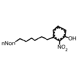 CCCCCCCCCCCCCCCc1cccc(O)c1[N+](=O)[O-]